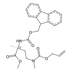 C=CCOC(=O)N(C)CC[C@](C)(NC(=O)OCC1c2ccccc2-c2ccccc21)C(=O)OC